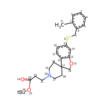 Cc1ccccc1CSc1ccc2c(c1)OCC21CCN(CCC(=O)OC(C)(C)C)CC1